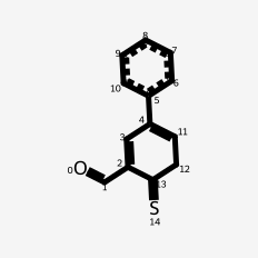 O=CC1=CC(c2ccccc2)=CCC1=S